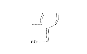 C=CC.C=CC=CO